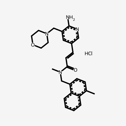 Cc1ccc(CN(C)C(=O)/C=C/c2cnc(N)c(CN3CCOCC3)c2)c2ccccc12.Cl